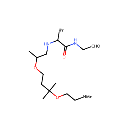 CNCCOC(C)(C)CCOC(C)CNC(C(=O)NCC=O)C(C)C